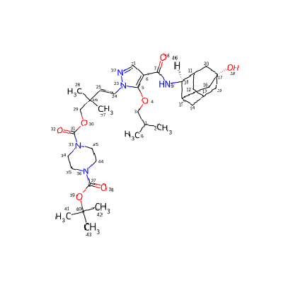 CC(C)COc1c(C(=O)N[C@H]2C3CC4CC2C[C@](O)(C4)C3)cnn1/C=C/C(C)(C)COC(=O)N1CCN(C(=O)OC(C)(C)C)CC1